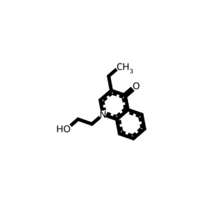 CCc1cn(CCO)c2ccccc2c1=O